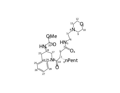 CCCCC[C@@H](CC(=O)NCCN1CCOCC1)C(=O)N1CC(NC(=O)OC)Cc2ccccc21